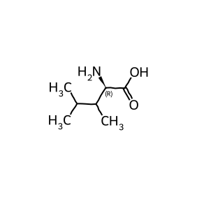 CC(C)C(C)[C@@H](N)C(=O)O